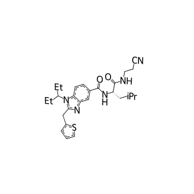 CCC(CC)n1c(Cc2cccs2)nc2cc(C(=O)N[C@@H](CC(C)C)C(=O)NCCC#N)ccc21